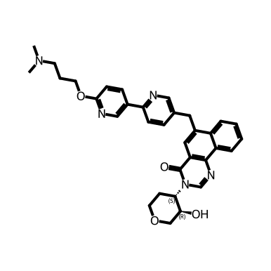 CN(C)CCCOc1ccc(-c2ccc(Cc3cc4c(=O)n([C@H]5CCOC[C@@H]5O)cnc4c4ccccc34)cn2)cn1